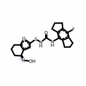 O=C(NSc1cc2c(o1)CCC/C2=N/O)Nc1c2c(c(F)c3c1CCC3)CCC2